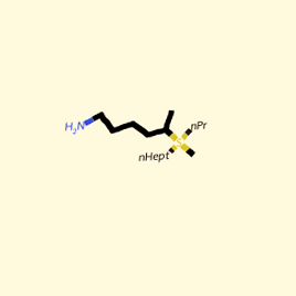 CCCCCCCS(C)(CCC)C(C)CCCCN